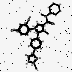 Cc1c(C(=O)N(C)C2CCCCC2)nn(-c2ccc(Cl)cc2Cl)c1-c1ccc(-c2nnn(C)n2)cc1